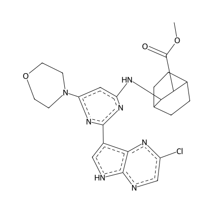 COC(=O)C1C2CCC(CC2)C1Nc1cc(N2CCOCC2)nc(-c2c[nH]c3ncc(Cl)nc23)n1